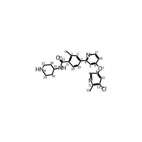 Cc1cc(-c2cc(Oc3cnc(C)c(Cl)c3)ccn2)ccc1C(=O)NC1CCNCC1